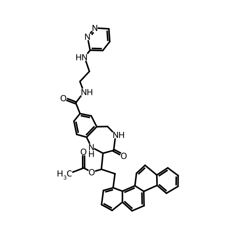 CC(=O)OC(Cc1cccc2ccc3c4ccccc4ccc3c12)C1Nc2ccc(C(=O)NCCNc3cccnn3)cc2CNC1=O